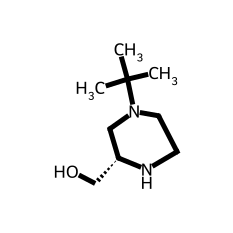 CC(C)(C)N1CCN[C@H](CO)C1